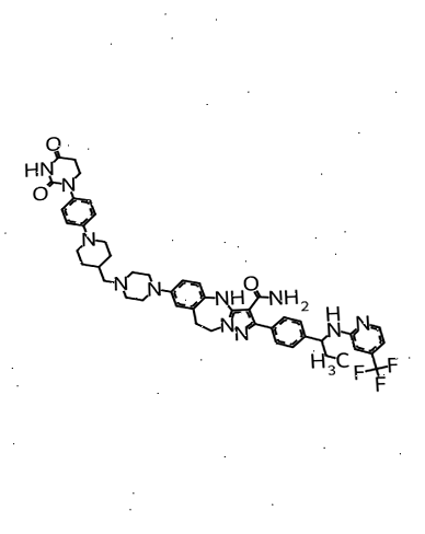 CCC(Nc1cc(C(F)(F)F)ccn1)c1ccc(-c2nn3c(c2C(N)=O)Nc2ccc(N4CCN(CC5CCN(c6ccc(N7CCC(=O)NC7=O)cc6)CC5)CC4)cc2CC3)cc1